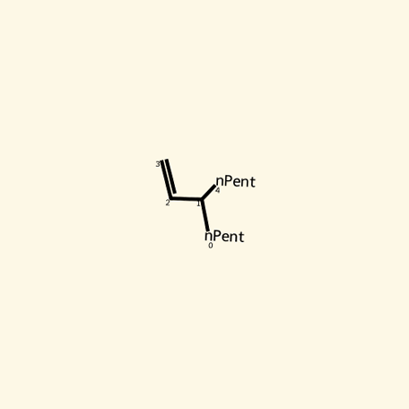 [CH2]CCCCC(C=C)CCCCC